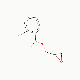 CC(OCC1CO1)c1ccccc1[O]